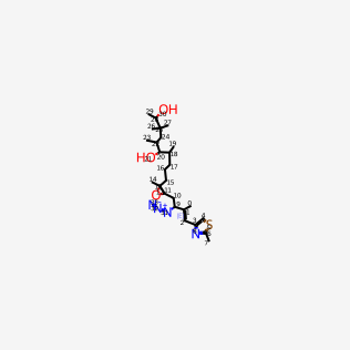 C/C(=C\c1csc(C)n1)C(CC1OC1(C)CCCC(C)C(O)C(C)CC(C)(C)C(C)O)N=[N+]=[N-]